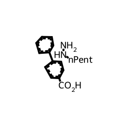 CCCCCNN.O=C(O)c1ccc(-c2ccccc2)cc1